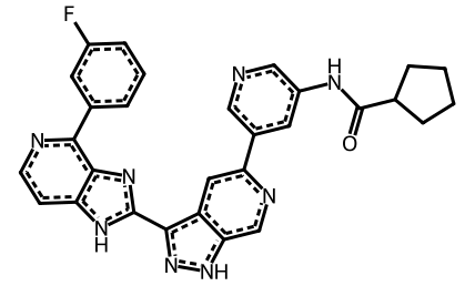 O=C(Nc1cncc(-c2cc3c(-c4nc5c(-c6cccc(F)c6)nccc5[nH]4)n[nH]c3cn2)c1)C1CCCC1